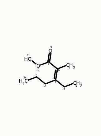 CCCC(CC)=C(C)C(=O)OO